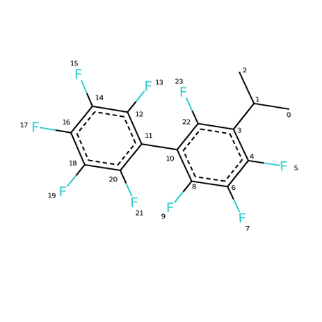 CC(C)c1c(F)c(F)c(F)c(-c2c(F)c(F)c(F)c(F)c2F)c1F